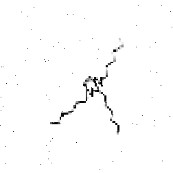 CCCCCCc1n(CCCCCC)cc[n+]1CCCCCC